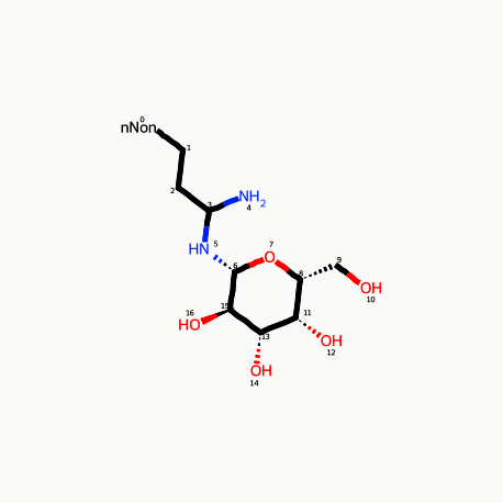 CCCCCCCCCCCC(N)N[C@@H]1O[C@H](CO)[C@H](O)[C@H](O)[C@H]1O